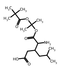 CC(C)CC(CC(=O)O)C(N)C(=O)OC(C)(C)OC(=O)C(C)(C)C